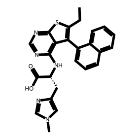 CCc1sc2ncnc(N[C@H](Cc3cn(C)cn3)C(=O)O)c2c1-c1cccc2ccccc12